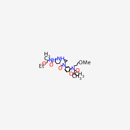 CCOC[C@H](C)NC(=O)[C@@H]1CNC[C@H](C(=O)N(c2ccc3c(c2)N(CCCOC)C(=O)C(C)(C)O3)C2CC2)C1